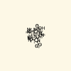 COC(=O)c1cc(-c2cnn(C)c2C)c(N)c(-c2cnn(C)c2)n1.Cn1cc(-c2ccc(Br)c(C(=O)O)n2)cn1